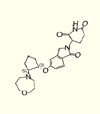 O=C1CCC(N2Cc3cc(O[C@H]4CCC[C@@H]4N4CCCOCCC4)ccc3C2=O)C(=O)N1